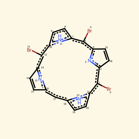 Brc1c2nc(c(Br)c3ccc([nH]3)c(Br)c3nc(cc4ccc1[nH]4)C=C3)C=C2